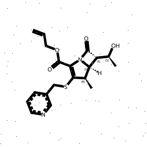 C=CCOC(=O)C1=C(SCc2cccnc2)[C@H](C)[C@@H]2[C@@H]([C@H](C)O)C(=O)N12